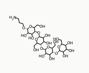 NCCCO[C@@H]1OC(CO)[C@@H](O[C@@H]2OC(CO)[C@@H](O[C@H]3OC(CO)[C@H](O[C@H]4OC(CO)[C@@H](O)C(O)C4O)C(O)C3O)C(O)C2O)C(O)C1O